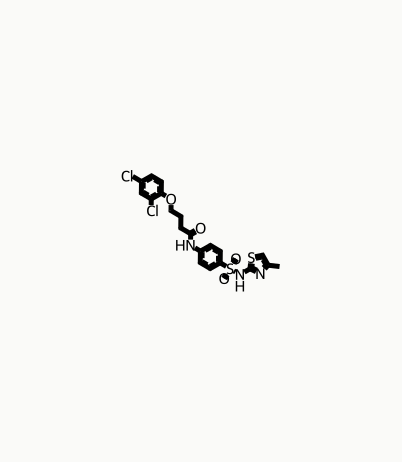 Cc1csc(NS(=O)(=O)c2ccc(NC(=O)CCCOc3ccc(Cl)cc3Cl)cc2)n1